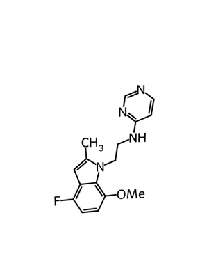 COc1ccc(F)c2cc(C)n(CCNc3ccncn3)c12